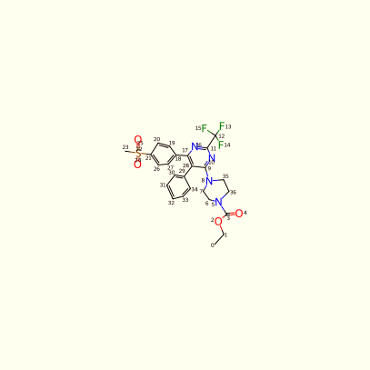 CCOC(=O)N1CCN(c2nc(C(F)(F)F)nc(-c3ccc(S(C)(=O)=O)cc3)c2-c2ccccc2)CC1